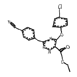 CCOC(=O)c1nnc(-c2ccc(C#N)cc2)nc1Oc1ccc(Cl)cc1